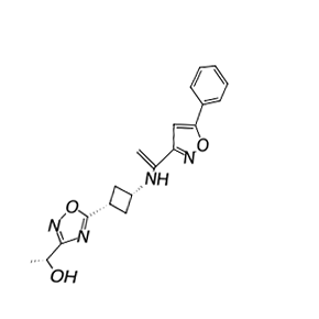 C=C(N[C@H]1C[C@@H](c2nc([C@@H](C)O)no2)C1)c1cc(-c2ccccc2)on1